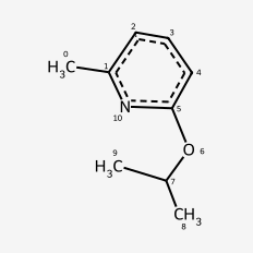 Cc1[c]ccc(OC(C)C)n1